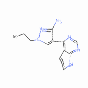 N#CCCn1cc(-c2ncnc3[nH]ccc23)c(N)n1